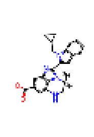 [2H]C1([2H])CNc2cc(C(=O)O)cc3nc(-c4cc5ccccc5n4CC4CC4)n1c23